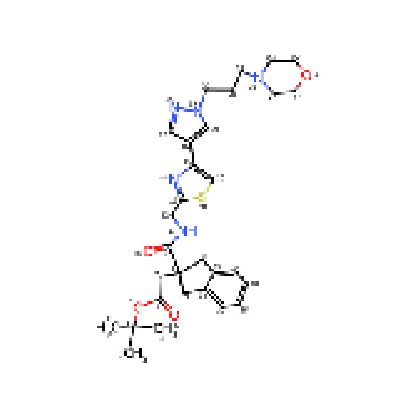 CC(C)(C)OC(=O)CC1(C(=O)NCc2nc(-c3cnn(CCCN4CCOCC4)c3)cs2)Cc2ccccc2C1